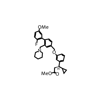 COC(=O)C[C@@H](c1cccc(OCc2ccc(-c3cc(OC)ccc3F)c(CN3CCCCC3)c2)c1)C1CC1